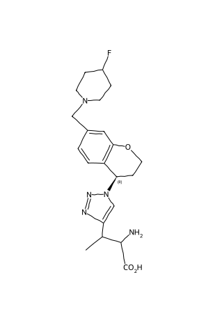 CC(c1cn([C@@H]2CCOc3cc(CN4CCC(F)CC4)ccc32)nn1)C(N)C(=O)O